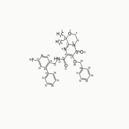 CC1(C)OCCn2c1nc(C(=O)NCc1ccc(F)cc1-c1ccccc1)c(OCc1ccccc1)c2=O